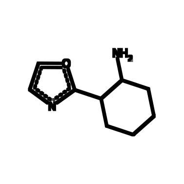 NC1CCCCC1c1ncco1